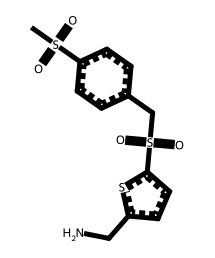 CS(=O)(=O)c1ccc(CS(=O)(=O)c2ccc(CN)s2)cc1